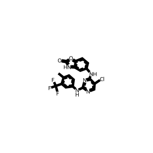 Cc1ccc(Nc2ncc(Cl)c(Nc3ccc4oc(=O)[nH]c4c3)n2)cc1C(F)(F)F